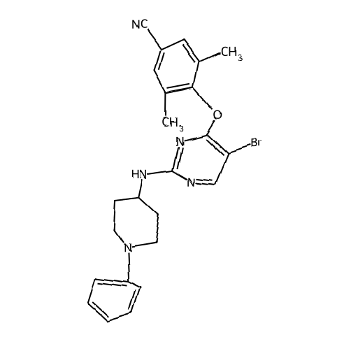 Cc1cc(C#N)cc(C)c1Oc1nc(NC2CCN(c3ccccc3)CC2)ncc1Br